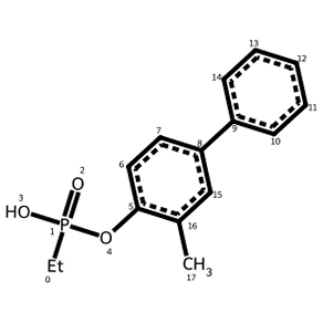 CCP(=O)(O)Oc1ccc(-c2ccccc2)cc1C